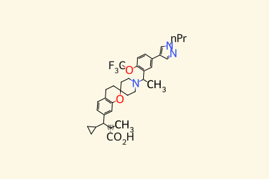 CCCn1cc(-c2ccc(OC(F)(F)F)c(C(C)N3CCC4(CCc5ccc(C(C6CC6)[C@H](C)C(=O)O)cc5O4)CC3)c2)cn1